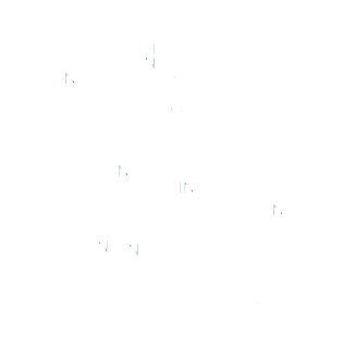 O=C(CC1CCCCC1)Nc1cncc(-c2ccc3[nH]nc(-c4cc5c(-c6ccoc6)nccc5[nH]4)c3n2)c1